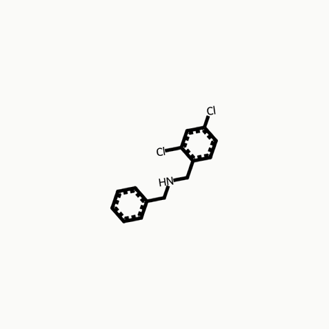 Clc1ccc(CNCc2ccccc2)c(Cl)c1